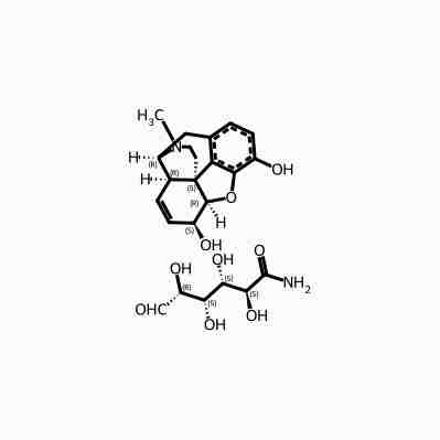 CN1CC[C@]23c4c5ccc(O)c4O[C@H]2[C@@H](O)C=C[C@H]3[C@H]1C5.NC(=O)[C@@H](O)[C@@H](O)[C@H](O)[C@@H](O)C=O